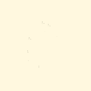 CS(=O)(=O)c1ccc2nc(Sc3nnc(-c4cccs4)s3)sc2c1